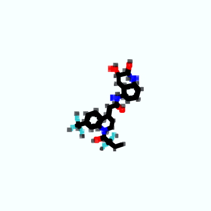 CCC(F)(F)C(=O)N1CC/C(=C\C(=O)Nc2cccc3c2CC(O)C(=O)N3)c2ccc(C(F)(F)F)cc21